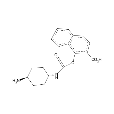 N[C@H]1CC[C@H](NC(=O)Oc2c(C(=O)O)ccc3ccccc23)CC1